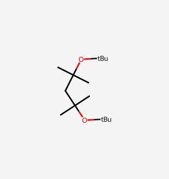 CC(C)(C)OC(C)(C)CC(C)(C)OC(C)(C)C